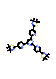 CC1(C)N=C(c2ccc(-c3cc(-c4ccc(C5=NC(C)(C)C(C)(C)S5)cn4)nc(-c4ccc(C5=NC(C)(C)C(C)(C)S5)cn4)n3)nc2)SC1(C)C